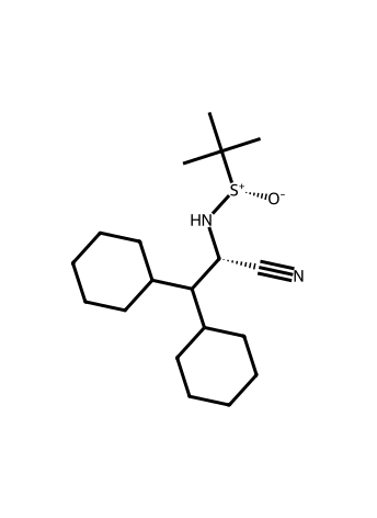 CC(C)(C)[S@+]([O-])N[C@H](C#N)C(C1CCCCC1)C1CCCCC1